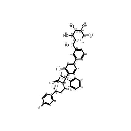 [3H]C(C[C@H](O)c1ccc(F)cc1)[C@H]1C(=O)N[C@@]1(c1ccccc1)c1ccc(-c2cccc([C@H](O)[C@H]3OC(O)[C@H](O)[C@@H](O)[C@@H]3O)c2)cc1O